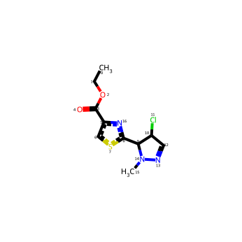 CCOC(=O)c1csc(C2C(Cl)C=NN2C)n1